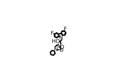 O=S1(=O)CN(C2CCCCC2)CCN1CC(O)Cn1c2ccc(F)cc2c2cc(F)ccc21